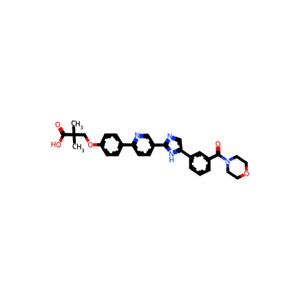 CC(C)(COc1ccc(-c2ccc(-c3ncc(-c4cccc(C(=O)N5CCOCC5)c4)[nH]3)cn2)cc1)C(=O)O